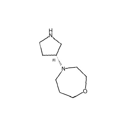 C1COCCN([C@@H]2CCNC2)C1